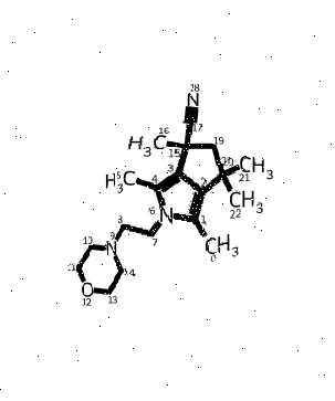 Cc1c2c(c(C)n1CCN1CCOCC1)C(C)(C#N)CC2(C)C